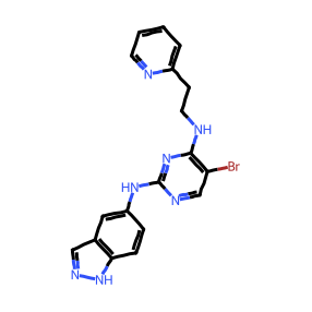 Brc1cnc(Nc2ccc3[nH]ncc3c2)nc1NCCc1ccccn1